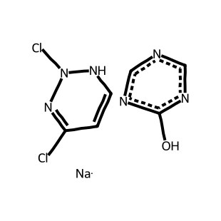 ClC1=NN(Cl)NC=C1.Oc1ncncn1.[Na]